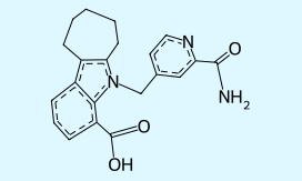 NC(=O)c1cc(Cn2c3c(c4cccc(C(=O)O)c42)CCCCC3)ccn1